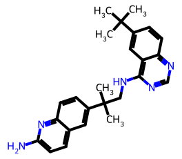 CC(C)(C)c1ccc2ncnc(NCC(C)(C)c3ccc4nc(N)ccc4c3)c2c1